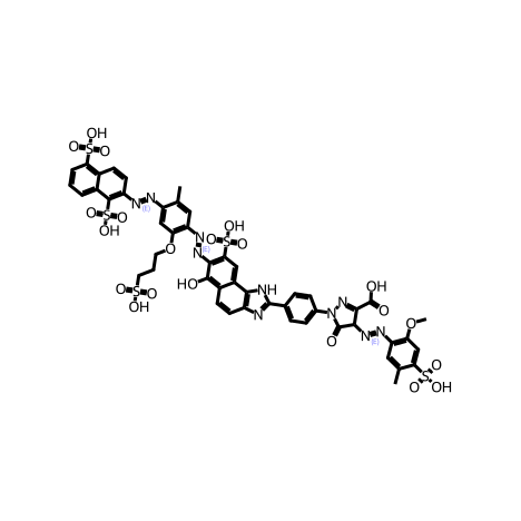 COc1cc(S(=O)(=O)O)c(C)cc1/N=N/C1C(=O)N(c2ccc(-c3nc4ccc5c(O)c(/N=N/c6cc(C)c(/N=N/c7ccc8c(S(=O)(=O)O)cccc8c7S(=O)(=O)O)cc6OCCCS(=O)(=O)O)c(S(=O)(=O)O)cc5c4[nH]3)cc2)N=C1C(=O)O